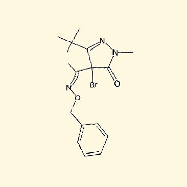 CC(=NOCc1ccccc1)C1(Br)C(=O)N(C)N=C1C(C)(C)C